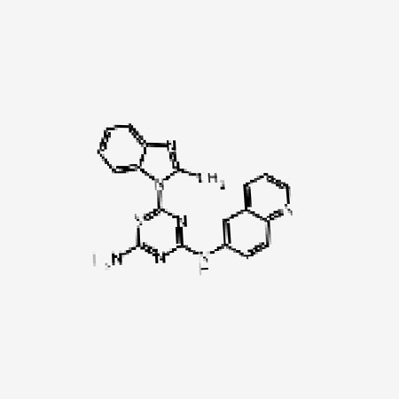 Cc1nc2ccccc2n1-c1nc(N)nc(Nc2ccc3ncccc3c2)n1